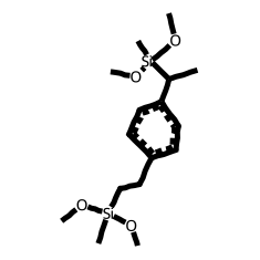 CO[Si](C)(CCc1ccc(C(C)[Si](C)(OC)OC)cc1)OC